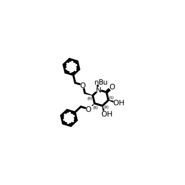 CCCCN1C(=O)[C@@H](O)[C@@H](O)[C@H](OCc2ccccc2)[C@H]1COCc1ccccc1